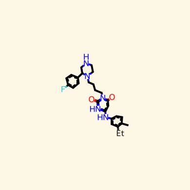 CCc1cc(Nc2cc(=O)n(CCCCN3CCNCC3c3ccc(F)cc3)c(=O)[nH]2)ccc1C